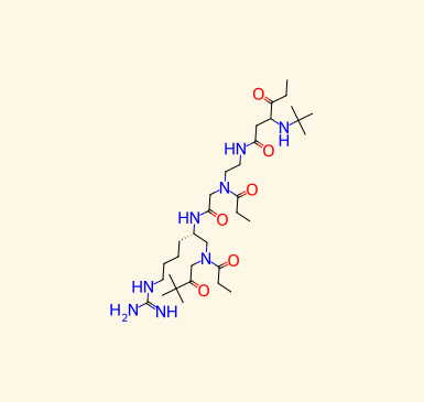 CCC(=O)C(CC(=O)NCCN(CC(=O)N[C@@H](CCCCNC(=N)N)CN(CC(=O)C(C)(C)C)C(=O)CC)C(=O)CC)NC(C)(C)C